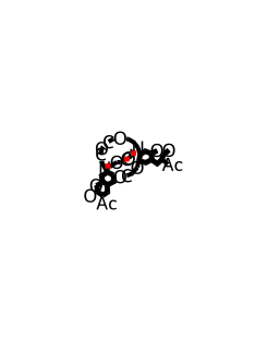 CC(=O)c1cc2cc3c(cc2oc1=O)N1CCOCCOCCN(CCOCCOCC1)c1cc2oc(=O)c(C(C)=O)cc2cc1OCCO3